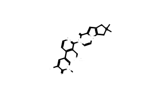 CC(=O)OCc1c(-c2cc(Br)c(=O)n(C)c2)ccnc1-n1ccn2c3c(cc2c1=O)CC(C)(C)C3